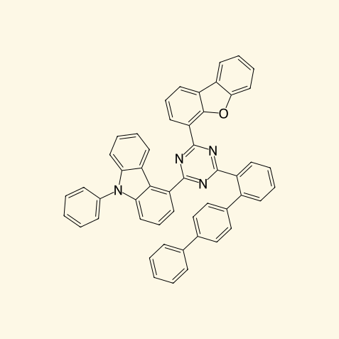 c1ccc(-c2ccc(-c3ccccc3-c3nc(-c4cccc5c4oc4ccccc45)nc(-c4cccc5c4c4ccccc4n5-c4ccccc4)n3)cc2)cc1